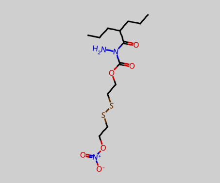 CCCC(CCC)C(=O)N(N)C(=O)OCCSSCCO[N+](=O)[O-]